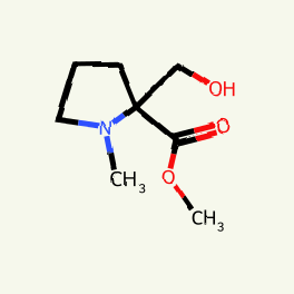 COC(=O)C1(CO)CCCN1C